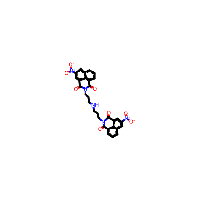 O=C1c2cccc3cc([N+](=O)[O-])cc(c23)C(=O)N1CCCNCCCN1C(=O)c2cccc3cc([N+](=O)[O-])cc(c23)C1=O